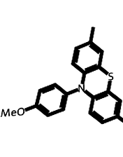 COc1ccc(N2c3ccc(C)cc3Sc3cc(C)ccc32)cc1